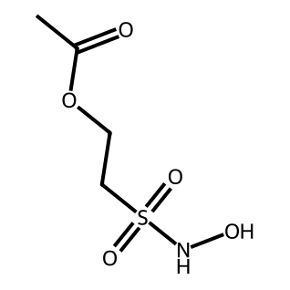 CC(=O)OCCS(=O)(=O)NO